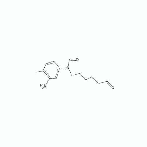 Cc1ccc(N(C=O)CCCCC[C]=O)cc1N